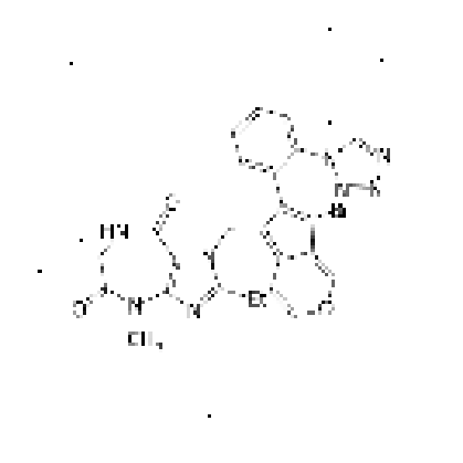 CCc1nc2c(n1Cc1c3ccocc-3c(Br)c1-c1ccccc1-n1cnnn1)C(=O)NCC(=O)N2C